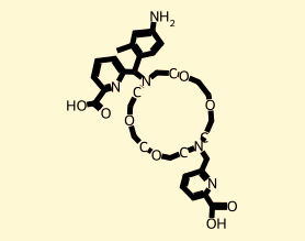 Cc1cc(N)ccc1C(c1cccc(C(=O)O)n1)N1CCOCCOCCN(Cc2cccc(C(=O)O)n2)CCOCCOCC1